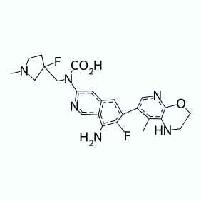 Cc1c(-c2cc3cc(N(CC4(F)CCN(C)C4)C(=O)O)ncc3c(N)c2F)cnc2c1NCCO2